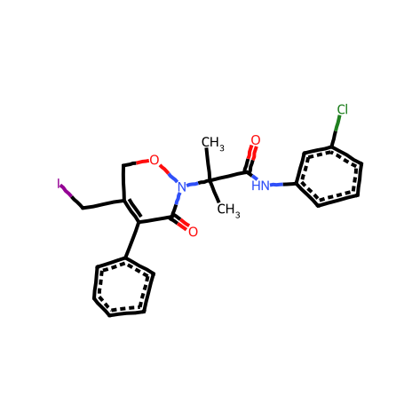 CC(C)(C(=O)Nc1cccc(Cl)c1)N1OCC(CI)=C(c2ccccc2)C1=O